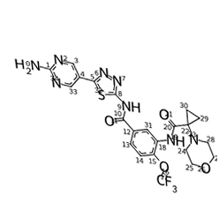 Nc1ncc(-c2nnc(NC(=O)c3ccc(OC(F)(F)F)c(NC(=O)C4(N5CCOCC5)CC4)c3)s2)cn1